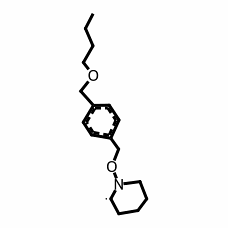 CCCCOCc1ccc(CON2[CH]CCCC2)cc1